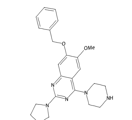 COc1cc2c(N3CCNCC3)nc(N3CCCC3)nc2cc1OCc1ccccc1